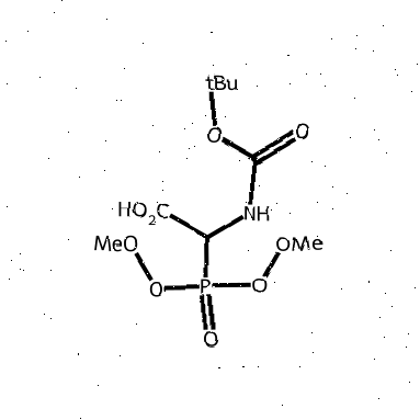 COOP(=O)(OOC)C(NC(=O)OC(C)(C)C)C(=O)O